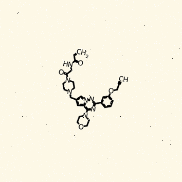 C#CCOc1cccc(-c2nc(N3CCOCC3)c3cc(CN4CCN(C(=O)CNC(=O)C=C)CC4)cn3n2)c1